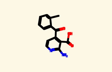 Cc1ccccc1C(=O)c1ccnc(N)c1C(=O)O